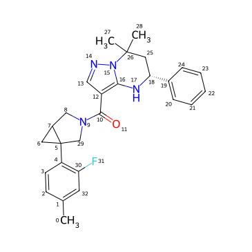 Cc1ccc(C23CC2CN(C(=O)c2cnn4c2N[C@@H](c2ccccc2)CC4(C)C)C3)c(F)c1